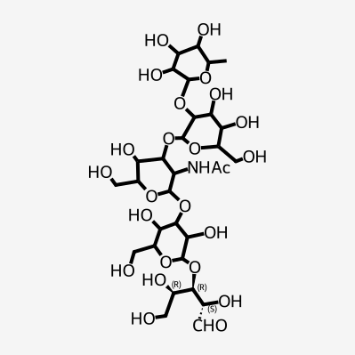 CC(=O)NC1C(OC2C(O)C(CO)OC(O[C@@H]([C@H](O)C=O)[C@H](O)CO)C2O)OC(CO)C(O)C1OC1OC(CO)C(O)C(O)C1OC1OC(C)C(O)C(O)C1O